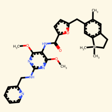 COc1nc(NCc2ccccn2)nc(OC)c1NC(=O)c1ccc(Cc2cc3c(cc2C)CC[Si]3(C)C)o1